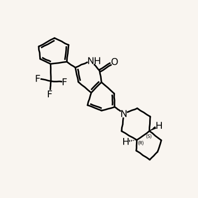 O=c1[nH]c(-c2ccccc2C(F)(F)F)cc2ccc(N3CC[C@@H]4CCCC[C@H]4C3)cc12